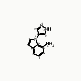 Nc1cccc2ccn(-c3cn[nH]c3)c12